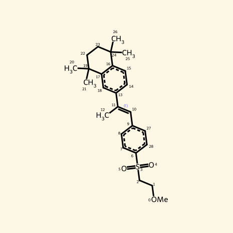 COCCS(=O)(=O)c1ccc(/C=C(\C)c2ccc3c(c2)C(C)(C)CCC3(C)C)cc1